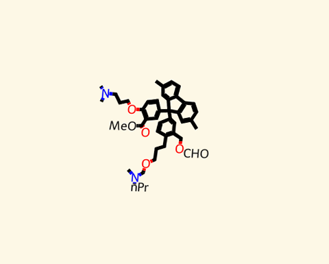 CCCN(C)COCCCc1ccc(C2(c3ccc(OCCCN(C)C)c(C(=O)OC)c3)c3cc(C)ccc3-c3ccc(C)cc32)cc1COC=O